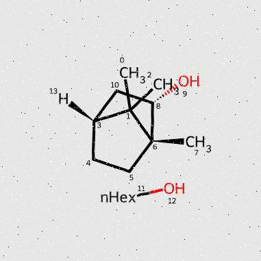 CC1(C)[C@@H]2CC[C@@]1(C)[C@@H](O)C2.CCCCCCO